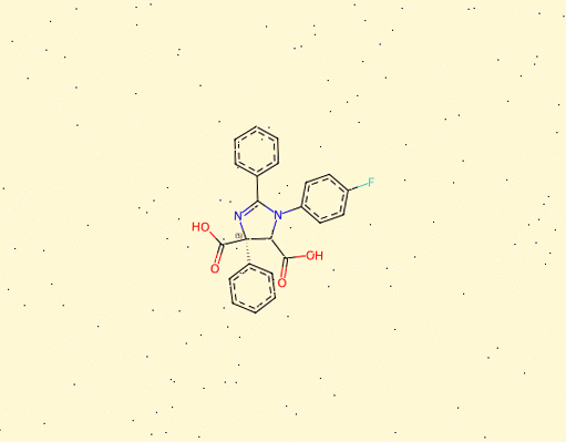 O=C(O)C1N(c2ccc(F)cc2)C(c2ccccc2)=N[C@@]1(C(=O)O)c1ccccc1